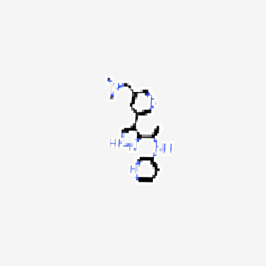 C=C(Nc1cccnc1)c1n[nH]cc1-c1cncc(CN(C)C)c1